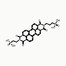 O=C1c2ccc3c4ccc5c6c(ccc(c7ccc(c2c37)C(=O)N1CCCP(=O)(O)O)c64)C(=O)N(CCP(=O)(O)O)C5=O